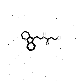 O=C(CCCl)NCCc1c2n(c3ccccc13)CCCC2